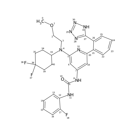 COCCN(c1cc(NC(=O)Nc2ccccc2F)cc(-c2ccccc2-c2nnn[nH]2)n1)C1CCC(F)(F)CC1